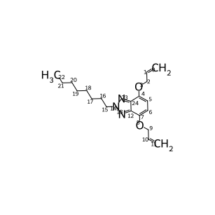 C=CCOc1ccc(OCC=C)c2nn(CCCCCCCC)nc12